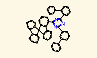 c1ccc(-c2cccc(-c3nc(-c4ccccc4-c4ccccc4)nc(-c4cccc5c4-c4ccccc4C54c5ccccc5-c5ccccc54)n3)c2)cc1